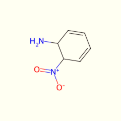 NC1C=CC=CC1[N+](=O)[O-]